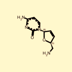 NC[C@@H]1C=C[C@H](n2ccc(N)nc2=O)O1